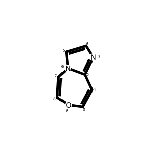 C1=Cc2nccn2C=CO1